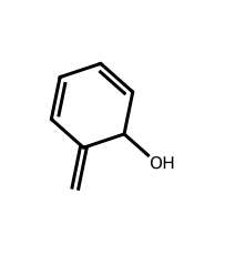 C=C1C=CC=CC1O